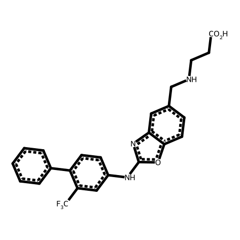 O=C(O)CCNCc1ccc2oc(Nc3ccc(-c4ccccc4)c(C(F)(F)F)c3)nc2c1